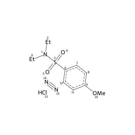 CCN(CC)S(=O)(=O)c1ccc(OC)cc1.Cl.N#N